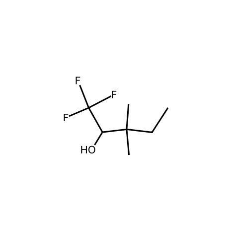 CCC(C)(C)C(O)C(F)(F)F